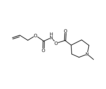 C=CCOC(=O)NOC(=O)C1CCN(C)CC1